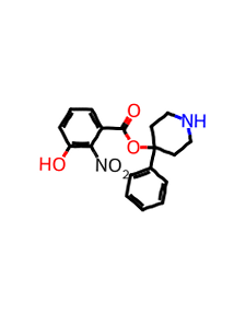 O=C(OC1(c2ccccc2)CCNCC1)c1cccc(O)c1[N+](=O)[O-]